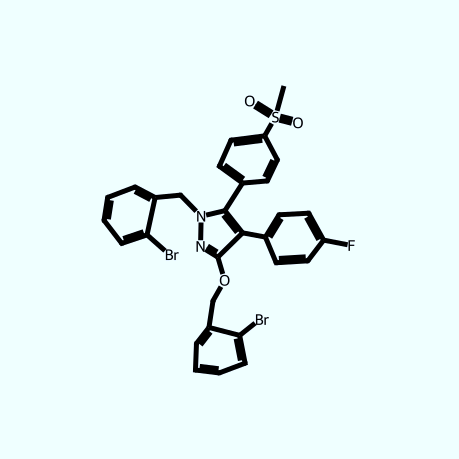 CS(=O)(=O)c1ccc(-c2c(-c3ccc(F)cc3)c(OCc3ccccc3Br)nn2Cc2ccccc2Br)cc1